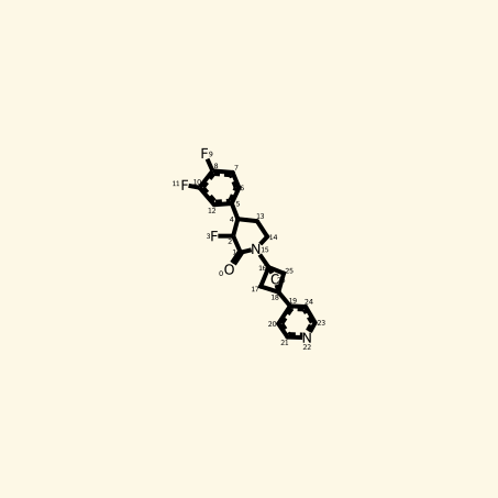 O=C1C(F)C(c2ccc(F)c(F)c2)CCN1C12CC(c3ccncc3)(C1)C2